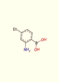 CCc1ccc(B(O)O)c(N)c1